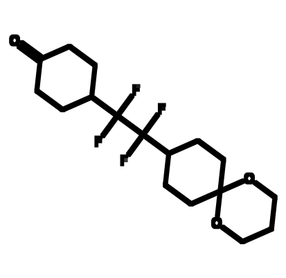 O=C1CCC(C(F)(F)C(F)(F)C2CCC3(CC2)OCCCO3)CC1